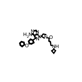 Nc1ncnc2c1c(-c1ccc(Oc3ccccc3)cc1)nn2[C@@H]1CCN(C(=O)/C=C/CNC2CCC2)C1